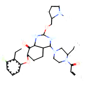 C=CC(=O)N1CCN(C2NC(OCC3CCCN3C)NC3C(=O)[C@@]4(CCc5c(F)cccc5O4)CCC32)CC1CC#N